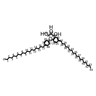 CCCCCCCCCCCCCCCCCCc1ccc(Oc2ccc(CCCCCCCCCCCCCCCCCC)cc2)cc1.OCC(O)CO